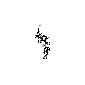 COc1cc2ncc(NC(=O)c3c(F)ccc(NS(=O)(=O)CCCF)c3F)cn2n1